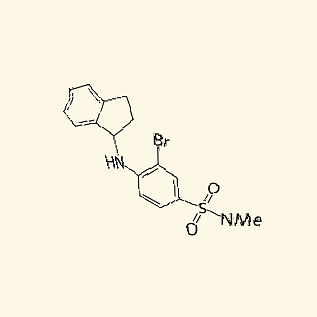 CNS(=O)(=O)c1ccc(NC2CCc3ccccc32)c(Br)c1